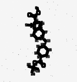 COC(=O)c1nc2c(n1C)CCN(C[C@H]1CC[C@H](C(=O)OC(C)(C)C)CC1)C2